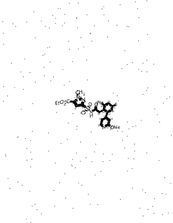 CCOC(=O)c1cc(S(=O)(=O)NC(=O)Cc2c(-c3ccnc(OC)c3)cc(F)cc2C(C)C)nn1C